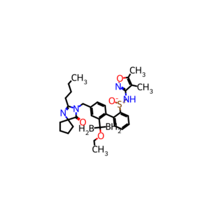 BC(B)(OCC)c1cc(CN2C(=O)C3(CCCC3)N=C2CCCC)ccc1-c1ccccc1[S+]([O-])Nc1noc(C)c1C